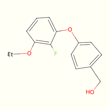 CCOc1cccc(Oc2ccc(CO)cc2)c1F